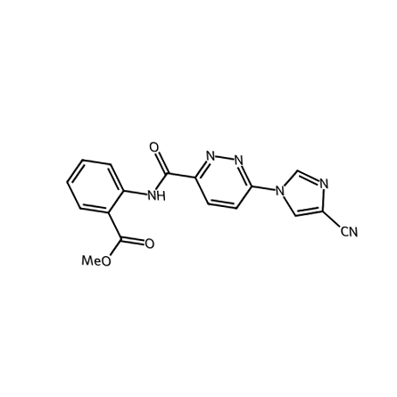 COC(=O)c1ccccc1NC(=O)c1ccc(-n2cnc(C#N)c2)nn1